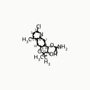 Cc1cc(Cl)nc2cc3c(cc12)OC(C)(C)[C@H](O)[C@H]3OC(N)=O